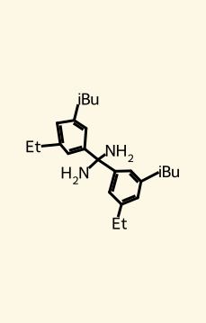 CCc1cc(C(C)CC)cc(C(N)(N)c2cc(CC)cc(C(C)CC)c2)c1